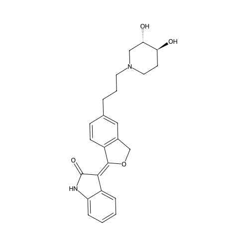 O=C1Nc2ccccc2C1=C1OCc2cc(CCCN3CC[C@H](O)[C@@H](O)C3)ccc21